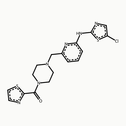 O=C(c1nccs1)N1CCN(Cc2cccc(Nc3ncc(Cl)s3)n2)CC1